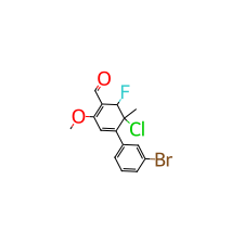 COC1=C(C=O)C(F)C(C)(Cl)C(c2cccc(Br)c2)=C1